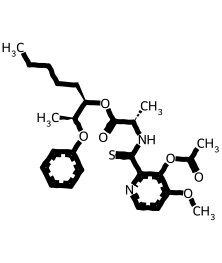 CCCCC[C@@H](OC(=O)[C@H](C)NC(=S)c1nccc(OC)c1OC(C)=O)[C@H](C)Oc1ccccc1